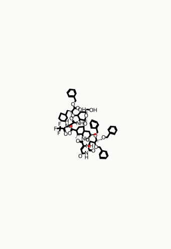 COC(=O)C1CC(O[C@@H]2O[C@@H](CO)C(O)C(O[C@@H](CC3CCCCC3)C(=O)OCc3ccccc3)C2NC(=O)CNC(=O)C(F)(F)F)C(C[C@@H](C)OC(C)C(OCc2ccccc2)[C@@H](COCc2ccccc2)OCc2ccccc2)C(NC(=O)c2cc(=O)[nH]c(=O)[nH]2)[C@@H]1C